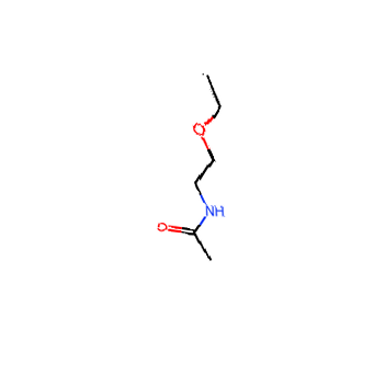 [CH2]COCCNC(C)=O